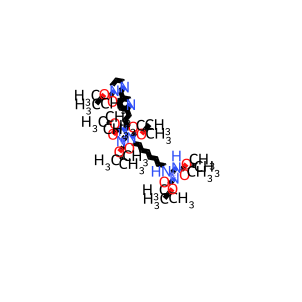 CC(C)(C)OC(=O)/N=C(\NCCCCCCCCN(C(=O)OC(C)(C)C)/C(=N\C(=O)OC(C)(C)C)N(CCCc1ccc(C2=NCCCN2C(=O)OC(C)(C)C)cn1)C(=O)OC(C)(C)C)NC(=O)OC(C)(C)C